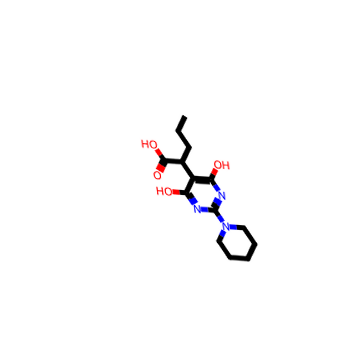 CCCC(C(=O)O)c1c(O)nc(N2CCCCC2)nc1O